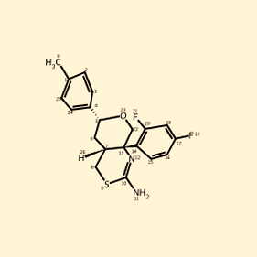 Cc1ccc([C@H]2C[C@H]3CSC(N)=N[C@@]3(c3ccc(F)cc3F)CO2)cc1